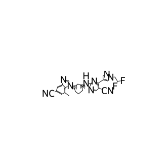 Cc1cc(C#N)cc2ncn([C@H]3CCC[C@@H](Nc4ncc(C#N)c(-c5cnn(CC(F)F)c5)n4)C3)c12